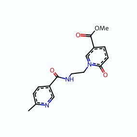 COC(=O)c1ccc(=O)n(CCNC(=O)c2ccc(C)nc2)c1